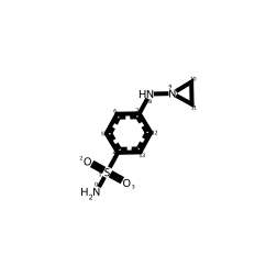 NS(=O)(=O)c1ccc(NN2CC2)cc1